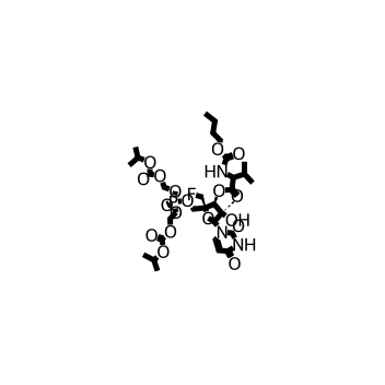 CCCCOC(=O)NC(C(=O)O[C@@H]1[C@@](CF)(COP(=O)(OCOC(=O)OC(C)C)OCOC(=O)OC(C)C)OC(n2ccc(=O)[nH]c2=O)[C@]1(C)O)C(C)C